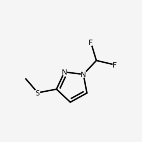 CSc1ccn(C(F)F)n1